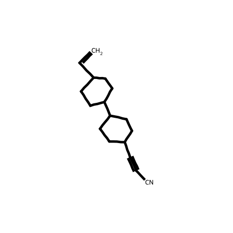 C=CC1CCC(C2CCC(C#CC#N)CC2)CC1